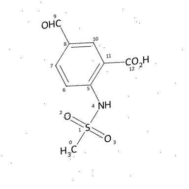 CS(=O)(=O)Nc1ccc(C=O)cc1C(=O)O